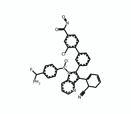 N#CC1CC=CC=C1c1c(-c2cccc(-c3ccc(C(=O)N=O)cc3Cl)c2)n([S+]([O-])c2ccc(C(F)P)cc2)c2cccnc12